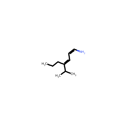 CCC/C(=C\C=C/N)C(C)C